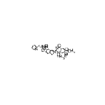 COc1cc2[nH]c(N3CCc4ccc(S(=O)(=O)NCCc5ccccn5)cc4C3)nc(=O)c2cc1OC